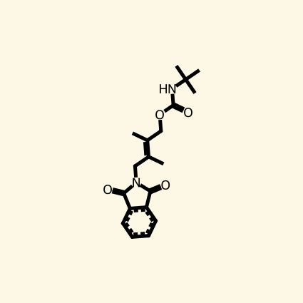 C/C(COC(=O)NC(C)(C)C)=C(/C)CN1C(=O)c2ccccc2C1=O